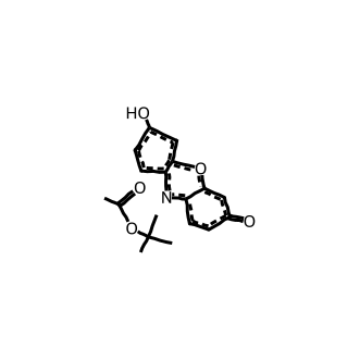 CC(=O)OC(C)(C)C.O=c1ccc2nc3ccc(O)cc3oc-2c1